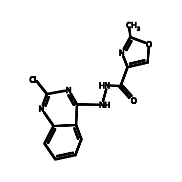 Cc1nc(C(=O)NNc2nc(Cl)nc3ccccc23)co1